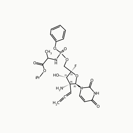 C=C=C[C@]1(N)[C@H](n2ccc(=O)[nH]c2=O)O[C@](F)(COP(=O)(NC(C)C(=O)OC(C)C)Oc2ccccc2)[C@H]1O